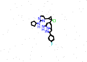 Nc1cc(C2(Cl)CC2c2ccnc(NC3CCCC3)n2)cc2cc(-c3ccc(F)cc3)nn12